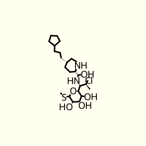 CSC1O[C@H]([C@H](NC(O)[C@@H]2CC[C@H](CCCC3CCCC3)CCN2)[C@H](C)Cl)C(O)C(O)[C@H]1O